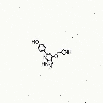 Oc1ccc(-c2cc(OCC3CNC3)c3cn[nH]c3n2)cc1